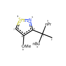 CCCCC(C)(CCC)c1nscc1OC